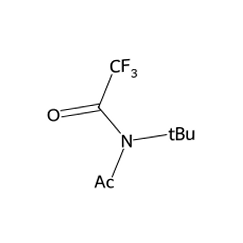 CC(=O)N(C(=O)C(F)(F)F)C(C)(C)C